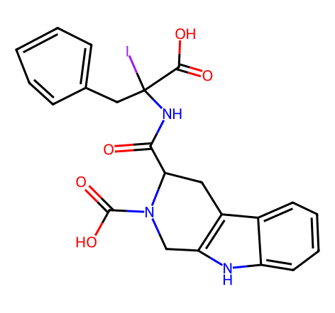 O=C(NC(I)(Cc1ccccc1)C(=O)O)C1Cc2c([nH]c3ccccc23)CN1C(=O)O